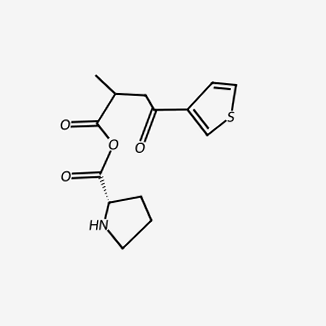 CC(CC(=O)c1ccsc1)C(=O)OC(=O)[C@@H]1CCCN1